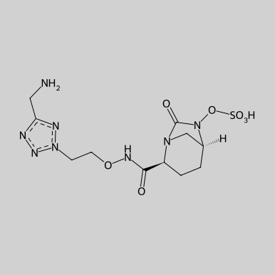 NCc1nnn(CCONC(=O)[C@@H]2CC[C@H]3CN2C(=O)N3OS(=O)(=O)O)n1